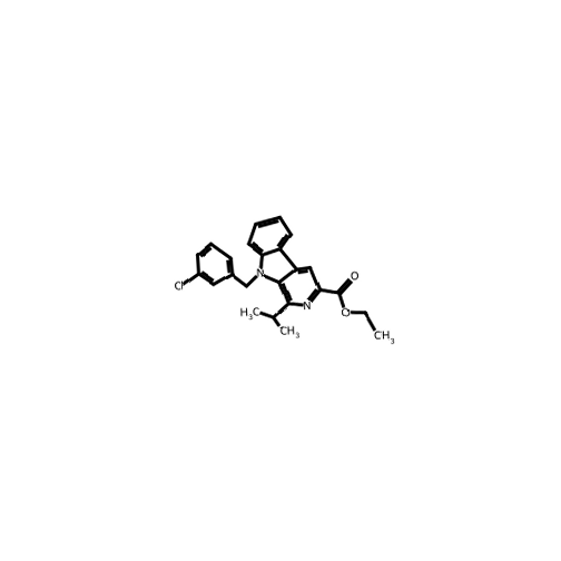 CCOC(=O)c1cc2c3ccccc3n(Cc3cccc(Cl)c3)c2c(C(C)C)n1